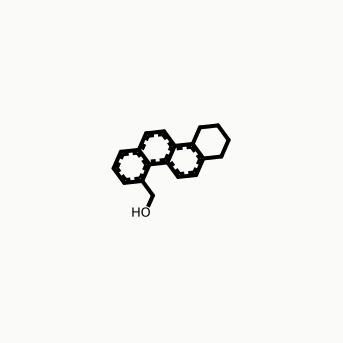 OCc1cccc2ccc3c4c(ccc3c12)CCCC4